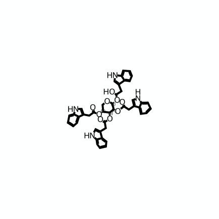 O=C(Cc1c[nH]c2ccccc12)O[C@@H]1[C@@H](OC(=O)Cc2c[nH]c3ccccc23)[C@@H](OC(O)Cc2c[nH]c3ccccc23)OC[C@@H]1OC(=O)Cc1c[nH]c2ccccc12